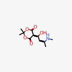 CN/C(C)=C\C(O)=C1C(=O)OC(C)(C)OC1=O